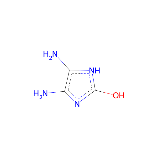 Nc1nc(O)[nH]c1N